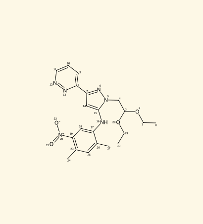 CCOC(Cn1nc(-c2cccnn2)cc1Nc1cc([N+](=O)[O-])c(C)cc1C)OCC